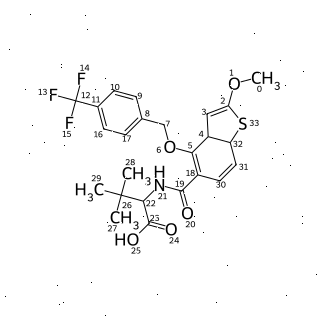 COC1=CC2C(OCc3ccc(C(F)(F)F)cc3)=C(C(=O)NC(C(=O)O)C(C)(C)C)C=CC2S1